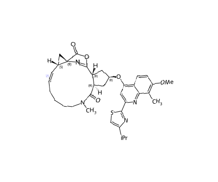 COc1ccc2c(O[C@H]3C[C@H]4C(=O)N(C)CCCC/C=C\[C@@H]5C[C@@]56N=C(OC6=O)[C@@H]4C3)cc(-c3nc(C(C)C)cs3)nc2c1C